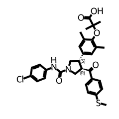 CSc1ccc(C(=O)[C@H]2CN(C(=O)Nc3ccc(Cl)cc3)C[C@@H]2c2cc(C)c(OC(C)(C)C(=O)O)c(C)c2)cc1